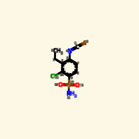 CCc1c(N=C=S)ccc(S(N)(=O)=O)c1Cl